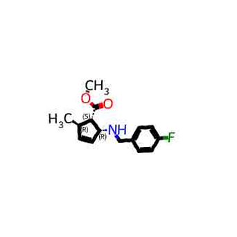 COC(=O)[C@H]1[C@H](C)C=C[C@H]1NCc1ccc(F)cc1